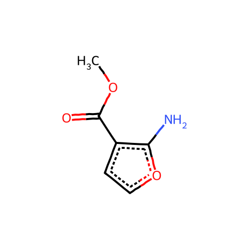 COC(=O)c1ccoc1N